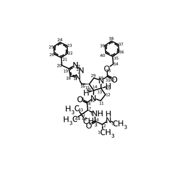 CN[C@@H](C)C(=O)N[C@H](C(=O)N1CC[C@@H]2[C@H]1[C@@H](Cn1cc(Cc3ccccc3)nn1)CN2C(=O)OCc1ccccc1)C(C)(C)C